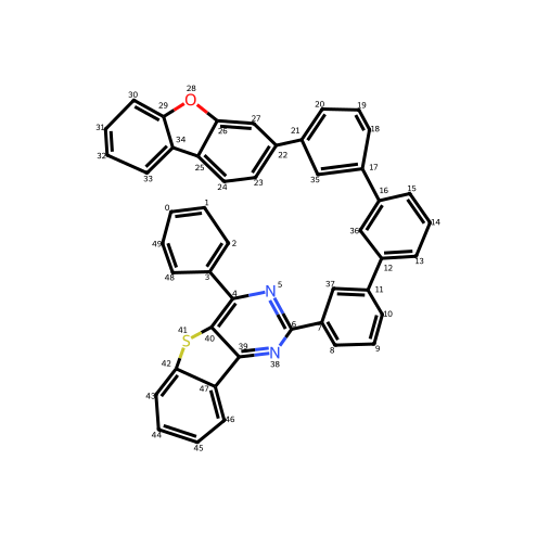 c1ccc(-c2nc(-c3cccc(-c4cccc(-c5cccc(-c6ccc7c(c6)oc6ccccc67)c5)c4)c3)nc3c2sc2ccccc23)cc1